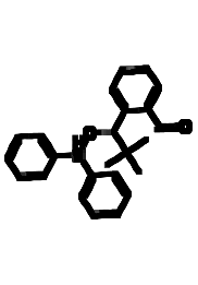 CC(C)(C)C(O[SiH](c1ccccc1)c1ccccc1)c1ccccc1[C]=O